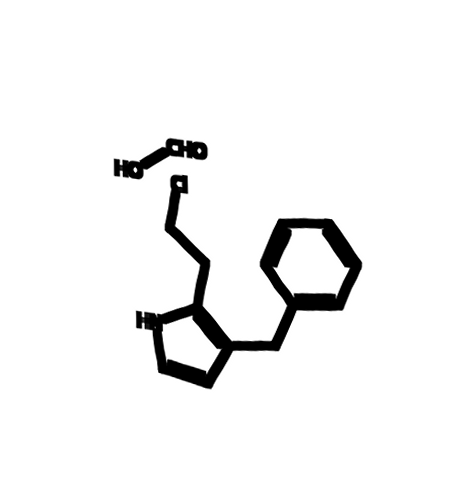 ClCCc1[nH]ccc1Cc1ccccc1.O=CO